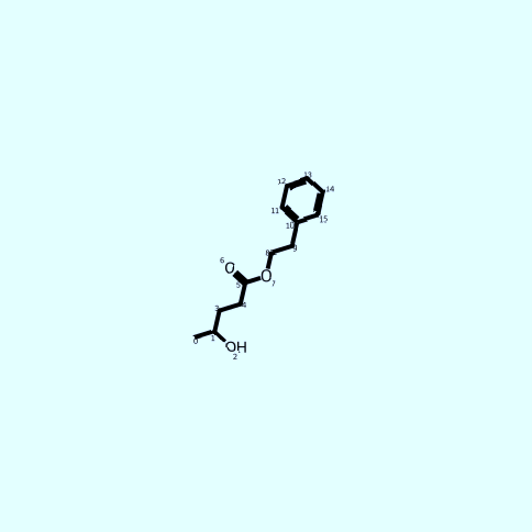 CC(O)CCC(=O)OCCc1ccccc1